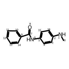 CNc1ccc(NC(=O)c2ccccc2)cc1